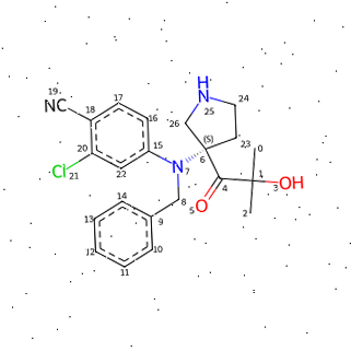 CC(C)(O)C(=O)[C@]1(N(Cc2ccccc2)c2ccc(C#N)c(Cl)c2)CCNC1